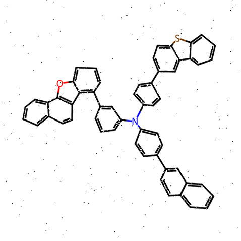 c1cc(-c2cccc3oc4c5ccccc5ccc4c23)cc(N(c2ccc(-c3ccc4ccccc4c3)cc2)c2ccc(-c3ccc4sc5ccccc5c4c3)cc2)c1